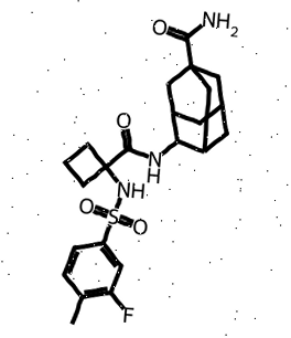 Cc1ccc(S(=O)(=O)NC2(C(=O)NC3C4CC5CC3CC(C(N)=O)(C5)C4)CCC2)cc1F